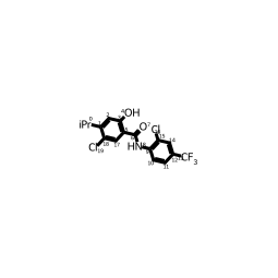 CC(C)c1cc(O)c(C(=O)Nc2ccc(C(F)(F)F)cc2Cl)cc1Cl